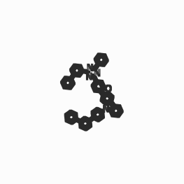 c1ccc(-c2cccc(-c3ccc(-n4c5ccccc5c5cc6oc7cc(-c8nc(-c9ccccc9)nc(-c9cccc(-c%10ccccc%10)c9)n8)ccc7c6cc54)cc3)c2)cc1